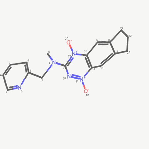 CN(Cc1ccccn1)c1n[n+]([O-])c2cc3c(cc2[n+]1[O-])CCC3